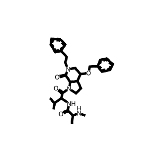 CNC(C)C(=O)NC(C(=O)N1CCC2C(OCc3ccccc3)CN(CCc3ccccc3)C(=O)C21)C(C)C